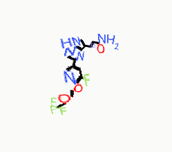 NC(=O)/C=C/c1c[nH]c2ncc(-c3cnc(OCCOCC(F)(F)F)c(F)c3)nc12